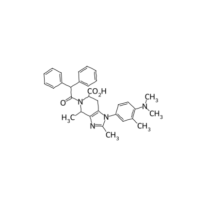 Cc1cc(-n2c(C)nc3c2CC(C(=O)O)N(C(=O)C(c2ccccc2)c2ccccc2)C3C)ccc1N(C)C